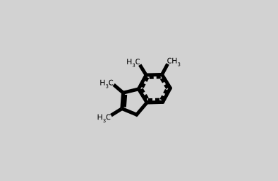 CC1=C(C)c2c(ccc(C)c2C)[CH]1